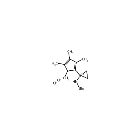 CC1=C(C)C(C)[C]([Ti+2]2([NH]C(C)(C)C)[CH2][CH2]2)=C1C.[Cl-].[Cl-]